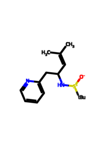 CC(C)=CC(Cc1ccccn1)N[S+]([O-])C(C)(C)C